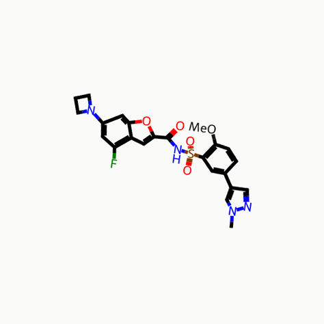 COc1ccc(-c2cnn(C)c2)cc1S(=O)(=O)NC(=O)c1cc2c(F)cc(N3CCC3)cc2o1